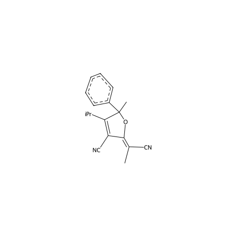 C/C(C#N)=C1/OC(C)(c2ccccc2)C(C(C)C)=C1C#N